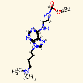 CN(C)CCCCn1cnc2c(NCCNC(=O)OC(C)(C)C)ncnc21